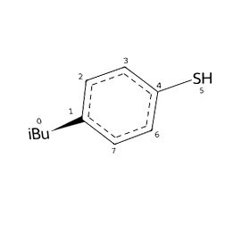 CC[C@H](C)c1ccc(S)cc1